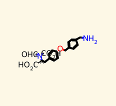 NCc1ccc(COc2ccc(C[C@@H](C(=O)O)N(C=O)C(=O)O)cc2)cc1